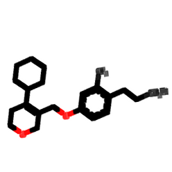 CCOC(=O)CCc1ccc(OCC2=C(C3CCCCC3)CCOC2)cc1C(F)(F)F